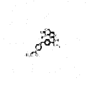 C=CC(=O)N1CCN(Cc2ccc([C@H](C)Nc3ncc4c(n3)N(C(C)C)C(=O)OC4)cc2)CC1